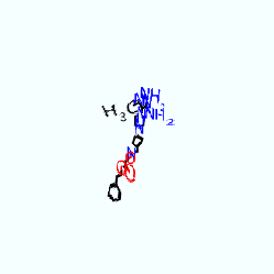 Cc1nc(N)nc(N)c1N1CCN(c2ccc(C=NOCC(=O)OCCc3ccccc3)cc2)CC1